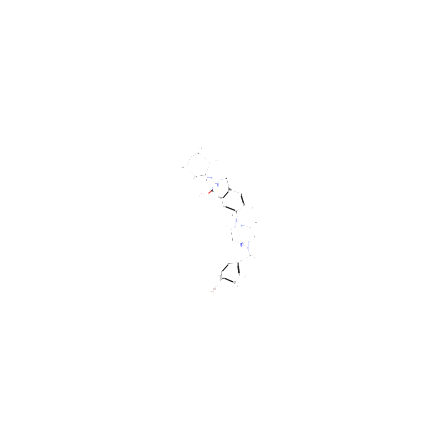 O=C1c2cc(N3CCN(Cc4ccc(Br)cc4)CC3)ccc2CN1C1CCCCC1